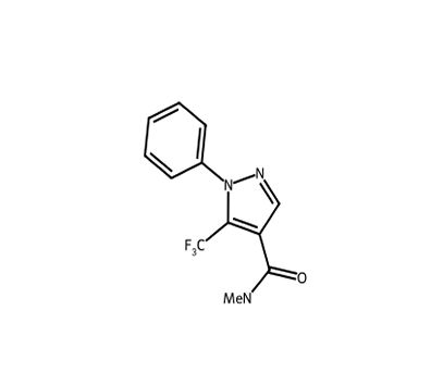 [CH2]NC(=O)c1cnn(-c2ccccc2)c1C(F)(F)F